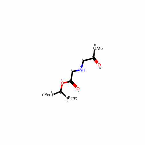 CCCCCC(CCCCC)OC(=O)CNCC(=O)OC